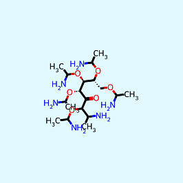 CC(N)OC[C@@H](OC(C)N)[C@H](OC(C)N)[C@@H](OC(C)N)C(=O)C(OC(C)N)C(C)N